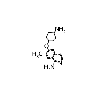 Cc1cc2c(N)nccc2cc1OC1CCC(N)CC1